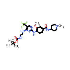 COc1cc(C(=O)NC2CCN(C)CC2)ccc1Nc1ncc(C(F)(F)F)c(NCCNC(=O)OC(C)(C)C)n1